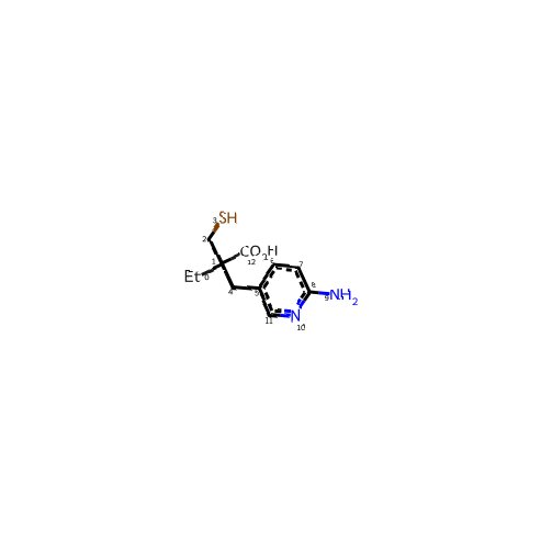 CCC(CS)(Cc1ccc(N)nc1)C(=O)O